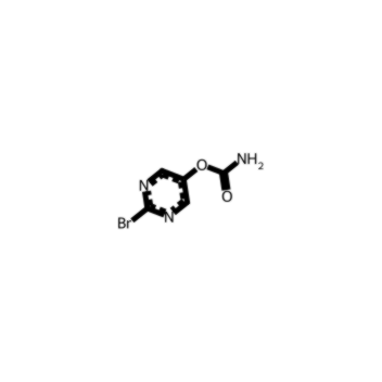 NC(=O)Oc1cnc(Br)nc1